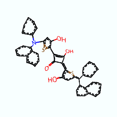 O=C1C(c2sc(N(c3ccccc3)c3cccc4ccccc34)cc2O)=C(O)/C1=c1\s/c(=C(\c2ccccc2)c2cccc3ccccc23)cc1O